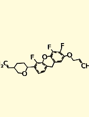 C=CCOc1cc2c(c(F)c1F)Oc1c(ccc(C3CCC(C=C)CO3)c1F)C2